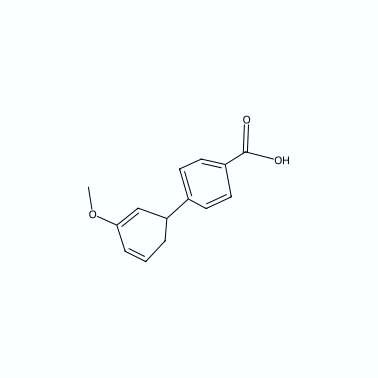 COC1=CC(c2ccc(C(=O)O)cc2)CC=C1